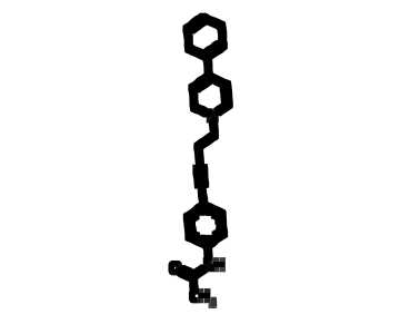 CC(=O)Nc1ccc(C#CCCN2C=CC(C3=CCC=CC3)=CC2)cc1